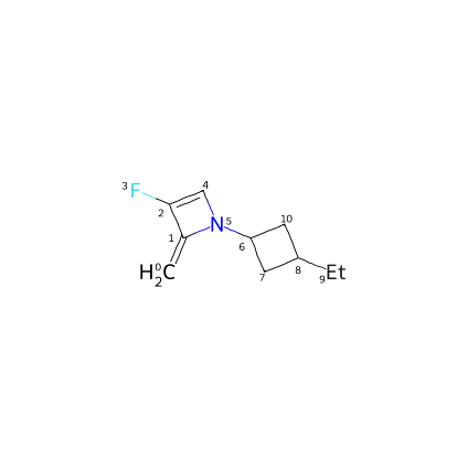 C=C1C(F)=CN1C1CC(CC)C1